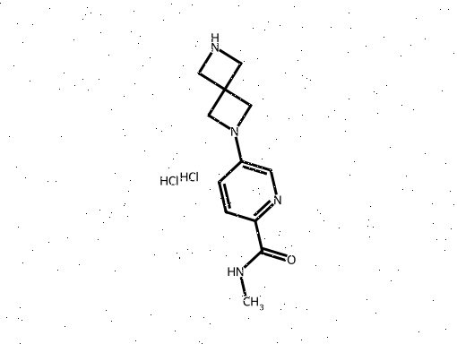 CNC(=O)c1ccc(N2CC3(CNC3)C2)cn1.Cl.Cl